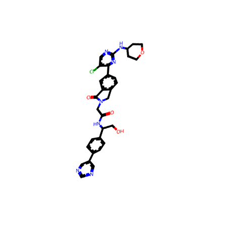 O=C(CN1Cc2ccc(-c3nc(NC4CCOCC4)ncc3Cl)cc2C1=O)NC(CO)c1ccc(-c2cncnc2)cc1